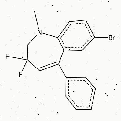 CN1CC(F)(F)C=C(c2ccccc2)c2cc(Br)ccc21